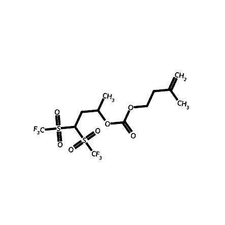 C=C(C)CCOC(=O)OC(C)CC(S(=O)(=O)C(F)(F)F)S(=O)(=O)C(F)(F)F